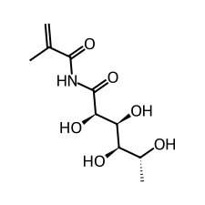 C=C(C)C(=O)NC(=O)[C@H](O)[C@@H](O)[C@H](O)[C@@H](C)O